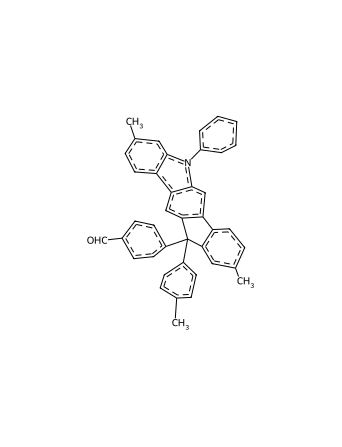 Cc1ccc(C2(c3ccc(C=O)cc3)c3cc(C)ccc3-c3cc4c(cc32)c2ccc(C)cc2n4-c2ccccc2)cc1